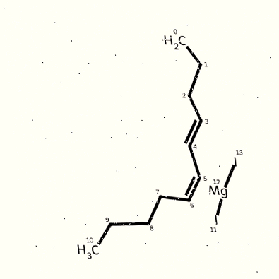 [CH2]CC/C=C/C=C\CCCC.[I][Mg][I]